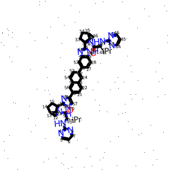 CC(C)[C@H](Nc1ncccn1)C(=O)N1CC2CCC1(c1nc(-c3ccc4cc(-c5ccc6[nH]c(C78CCC(CN7C(=O)[C@@H](Nc7ncccn7)C(C)C)C8)nc6c5)ccc4c3)c[nH]1)C2